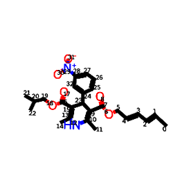 CC=CC=CCOC(=O)C1=C(C)NC(C)=C(C(=O)OCC(C)C)C1c1cccc([N+](=O)[O-])c1